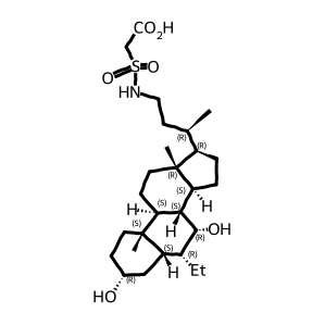 CC[C@H]1[C@@H](O)[C@@H]2[C@H](CC[C@]3(C)[C@@H]([C@H](C)CCNS(=O)(=O)CC(=O)O)CC[C@@H]23)[C@@]2(C)CC[C@@H](O)C[C@@H]12